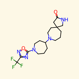 O=C1CC2(CCCN(C3CCCN(c4nc(C(F)(F)F)no4)CC3)CC2)CN1